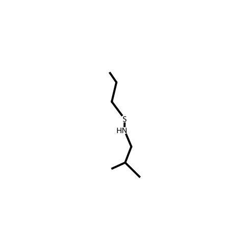 CCCSNCC(C)C